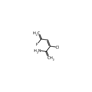 C=C(F)/C=C(/Cl)C(=C)N